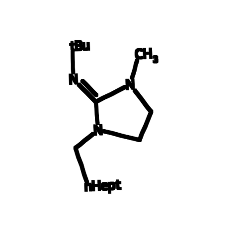 CCCCCCCCN1CCN(C)C1=NC(C)(C)C